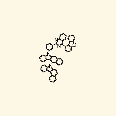 c1cc(-c2nc(-c3cccc4oc5ccccc5c34)c3ccccc3n2)cc(-n2c3ccccc3c3c(-n4c5ccccc5c5c6ccccc6ccc54)c4ccccc4cc32)c1